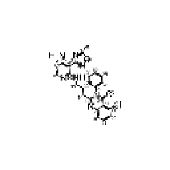 Cc1nc(-c2c(N)ncnc2NCCCc2nc3cccc(Cl)c3c(=O)n2-c2ccccc2)no1